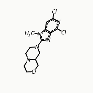 Cn1c(N2CCN3CCOCC3C2)nc2c(Cl)nc(Cl)cc21